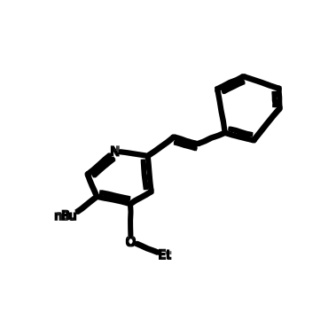 CCCCc1cnc(C=Cc2ccccc2)cc1OCC